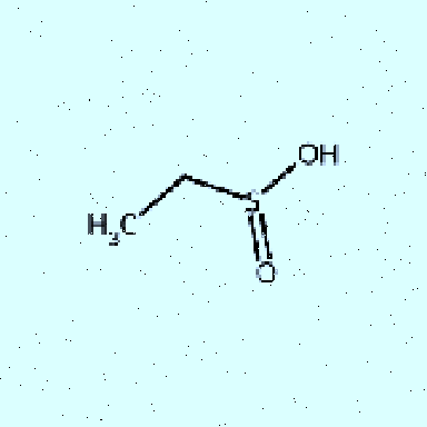 CCS(=O)O